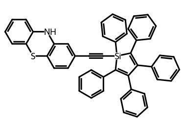 C(#C[Si]1(c2ccccc2)C(c2ccccc2)=C(c2ccccc2)C(c2ccccc2)=C1c1ccccc1)c1ccc2c(c1)Nc1ccccc1S2